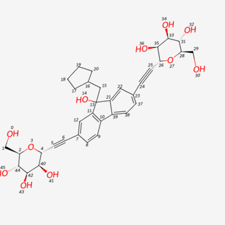 OC[C@H]1O[C@H](C#Cc2ccc3c(c2)C(O)(CC2CCCC2)c2cc(C#C[C@H]4O[C@H](CO)[C@@H](O)[C@H](O)[C@@H]4O)ccc2-3)[C@@H](O)[C@@H](O)[C@@H]1O